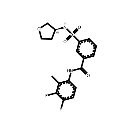 Cc1c(NC(=O)c2cccc(S(=O)(=O)N[C@H]3CCOC3)c2)ccc(F)c1F